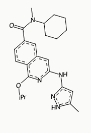 Cc1cc(Nc2cc3cc(C(=O)N(C)C4CCCCC4)ccc3c(OC(C)C)n2)n[nH]1